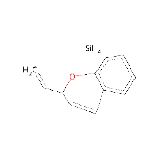 C=CC1C=Cc2ccccc2O1.[SiH4]